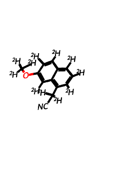 [2H]c1c([2H])c(C([2H])([2H])C#N)c2c([2H])c(OC([2H])([2H])[2H])c([2H])c([2H])c2c1[2H]